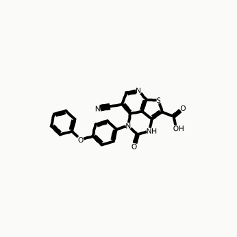 N#Cc1cnc2sc(C(=O)O)c3c2c1N(c1ccc(Oc2ccccc2)cc1)C(=O)N3